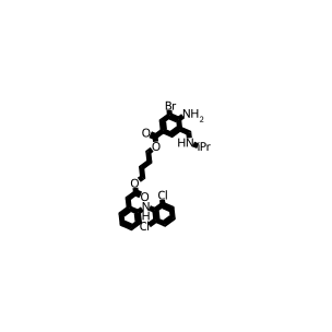 CC(C)NCc1cc(C(=O)OCCCCOC(=O)Cc2ccccc2Nc2c(Cl)cccc2Cl)cc(Br)c1N